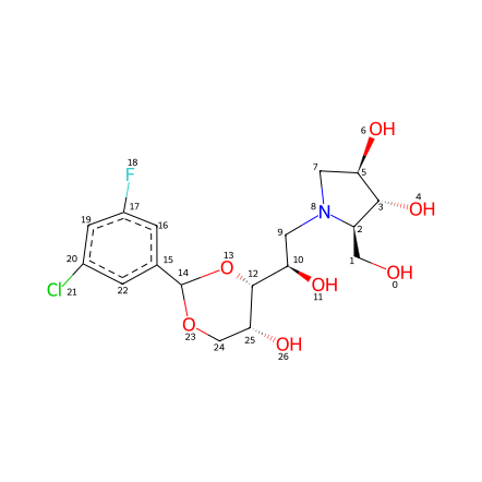 OC[C@@H]1[C@@H](O)[C@H](O)CN1C[C@@H](O)[C@H]1OC(c2cc(F)cc(Cl)c2)OC[C@H]1O